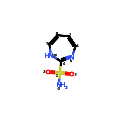 NS(=O)(=O)C1=NC=CC=CN1